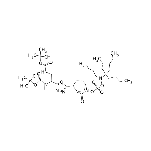 CCCCN(OS(=O)(=O)ON1C(=O)N2CC1CC[C@H]2c1nnc(C(CNC(=O)OC(C)(C)C)NC(=O)OC(C)(C)C)o1)C(CCC)(CCCC)CCCC